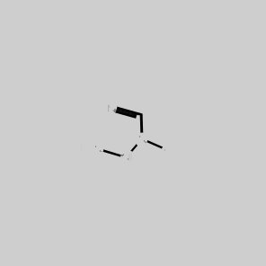 CN(C=N)NN